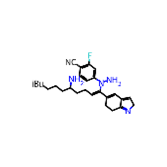 CCC(C)CCCC(N)CC/C=C(/C1=CC2=CCN=C2CC1)N(N)c1ccc(C#N)c(F)c1